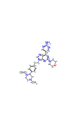 CN1CCN(C=O)C(c2ccc(CCn3cnc4c(-c5cnc(N)nc5)nc(N5CCOCC5)nc43)cc2)C1